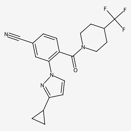 N#Cc1ccc(C(=O)N2CCC(C(F)(F)F)CC2)c(-n2ccc(C3CC3)n2)c1